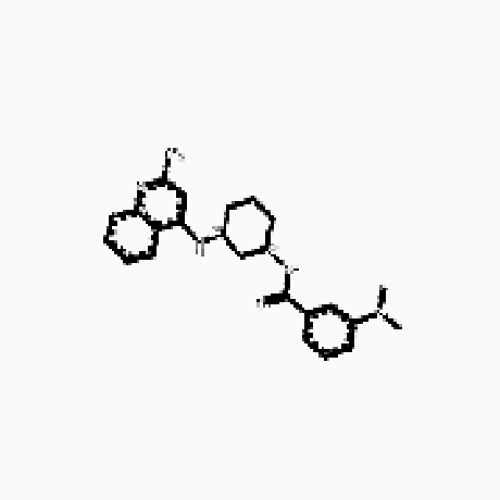 CN(C)c1cccc(C(=O)N[C@@H]2CCC[C@H](Nc3cc(C(F)(F)F)nc4ccccc34)C2)c1